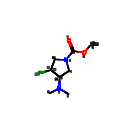 CN(C)[C@@H]1CN(C(=O)OC(C)(C)C)C[C@@H]1F